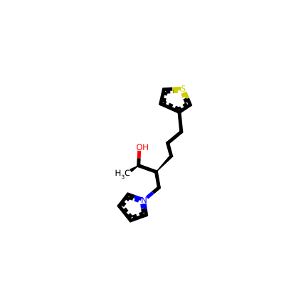 C[C@@H](O)[C@@H](CCCc1ccsc1)Cn1cccc1